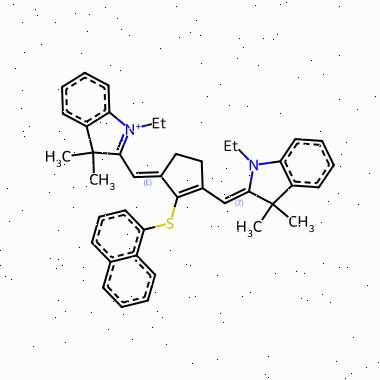 CCN1/C(=C\C2=C(Sc3cccc4ccccc34)C(=C/C3=[N+](CC)c4ccccc4C3(C)C)/CC2)C(C)(C)c2ccccc21